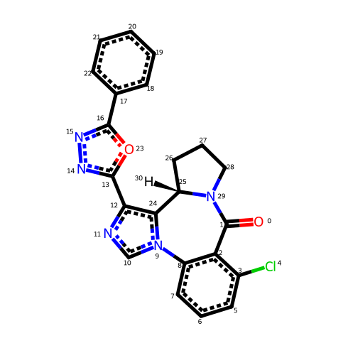 O=C1c2c(Cl)cccc2-n2cnc(-c3nnc(-c4ccccc4)o3)c2[C@@H]2CCCN12